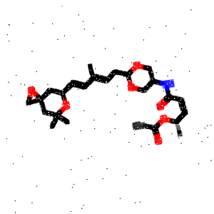 CC(/C=C/[C@@H]1C[C@]2(CO2)CC(C)(C)O1)=C\CC1OCC(NC(=O)/C=C\[C@H](C)OC(=O)C(C)(C)C)CO1